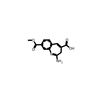 COC(=O)c1ccc2c(c1)N=C(N)CC(C(=O)O)=C2